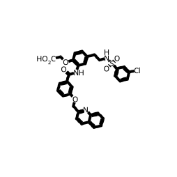 O=C(O)COc1ccc(CCNS(=O)(=O)c2cccc(Cl)c2)cc1NC(=O)c1cccc(OCc2ccc3ccccc3n2)c1